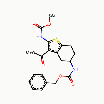 COC(=O)c1c(NC(=O)OC(C)(C)C)sc2c1CC(NC(=O)OCc1ccccc1)CC2